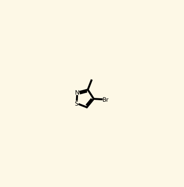 Cc1nscc1Br